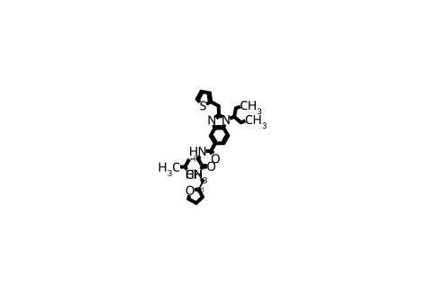 CCC(CC)n1c(Cc2cccs2)nc2cc(C(=O)N[C@@H](CC(C)C)C(=O)NC[C@H]3CCCO3)ccc21